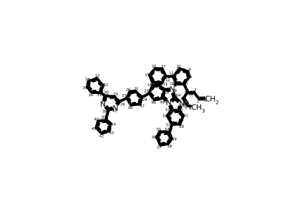 C=C/C=C(\C=C/C)c1cccc(-c2ccccc2)c1-n1c2ccc(-c3ccc(-c4cc(-c5ccccc5)nc(-c5ccccc5)n4)cc3)cc2n2c3cc(-c4ccccc4)ccc3nc12